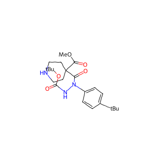 COC(=O)C1(C(=O)N(NC(=O)OC(C)(C)C)c2ccc(C(C)(C)C)cc2)CCNCC1